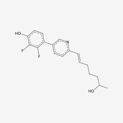 CC(O)CCCC=Cc1ccc(-c2ccc(O)c(F)c2F)cn1